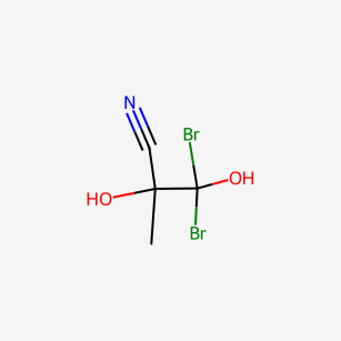 CC(O)(C#N)C(O)(Br)Br